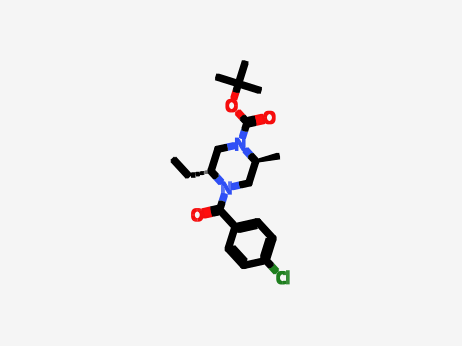 CC[C@@H]1CN(C(=O)OC(C)(C)C)[C@@H](C)CN1C(=O)c1ccc(Cl)cc1